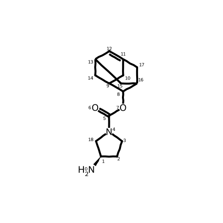 N[C@@H]1CCN(C(=O)OC2C3CC4=CC(C3)CC2C4)C1